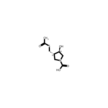 CC(=O)SC[C@H]1CN(C(=O)O)C[C@@H]1O